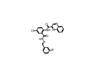 O=C(Nc1ccc(Cl)cc1C(=O)N/N=C/c1cccc(F)c1)c1cnc2ccccc2n1